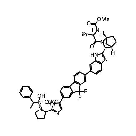 COC(=O)NC(C(=O)N1[C@@H]2CC[C@@H](C2)[C@H]1c1nc2ccc(-c3ccc4c(c3)C(F)(F)c3cc(-c5cnc(C6CCCN6[N+](O)(C(=O)[O-])C(C)c6ccccc6)[nH]5)ccc3-4)cc2[nH]1)C(C)C